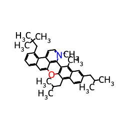 Cc1c2c(c(CC(C)C)c3ccc(CC(C)C)cc13)Oc1cc3cccc(CC(C)(C)C)c3c3cc[n+](C)c-2c13